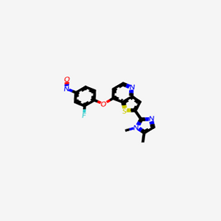 Cc1cnc(-c2cc3nccc(Oc4ccc(N=O)cc4F)c3s2)n1C